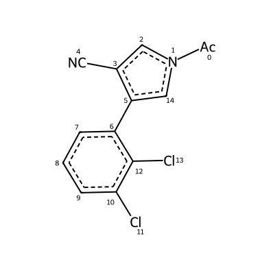 CC(=O)n1cc(C#N)c(-c2cccc(Cl)c2Cl)c1